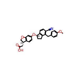 COc1ccc(Cc2c(C#N)ccc3c2CC[C@H]3Oc2ccc3c(c2)OC[C@H]3CC(=O)O)cc1